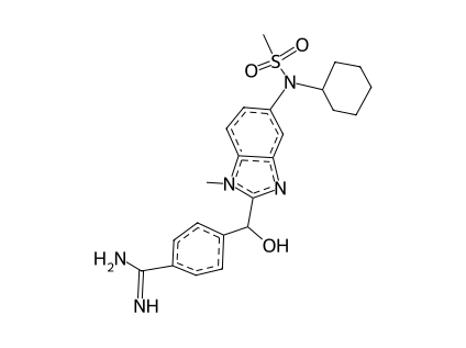 Cn1c(C(O)c2ccc(C(=N)N)cc2)nc2cc(N(C3CCCCC3)S(C)(=O)=O)ccc21